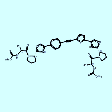 COC(=O)N[C@H](C(=O)N1CCC[C@H]1c1ncc(-c2ccc(C#Cc3ccc(-c4cnc([C@@H]5CCCN5C(=O)[C@@H](NC(=O)OC)C(C)C)[nH]4)s3)cc2)[nH]1)C(C)C